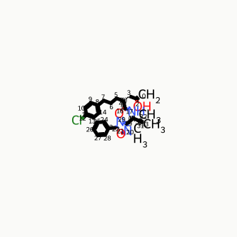 C=C(O)C[C@@H](CCCc1ccc(Cl)cc1)C(=O)N[C@H](c1noc(-c2ccccc2)n1)C(C)(C)C